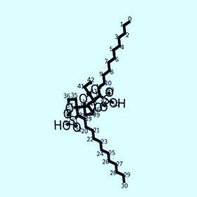 CCCCCCCCCCCCC(C1(C2(OC3(C4(C(CCCCCCCCCCCC)S(=O)(=O)O)CCO4)CCO3)CCO2)CCO1)S(=O)(=O)O